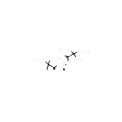 CCCC(C(=O)O)(C(=O)O)C(=O)O[PH](=O)OC(=O)C(CCC)(C(=O)O)C(=O)O